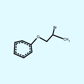 CC(Br)COc1ccccc1